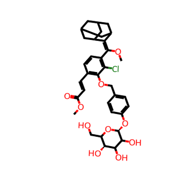 COC(=O)/C=C/c1ccc(C(OC)=C2C3CC4CC(C3)CC2C4)c(Cl)c1OCc1ccc(O[C@@H]2OC(CO)[C@H](O)C(O)C2O)cc1